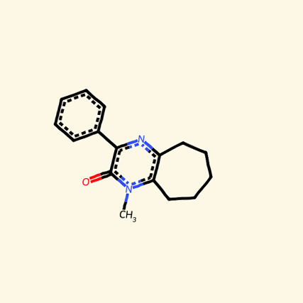 Cn1c2c(nc(-c3ccccc3)c1=O)CCCCC2